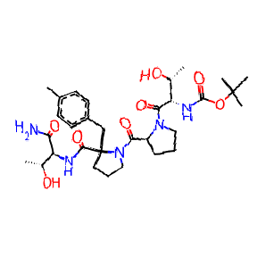 Cc1ccc(CC2(C(=O)N[C@H](C(N)=O)[C@@H](C)O)CCCN2C(=O)[C@@H]2CCCN2C(=O)[C@@H](NC(=O)OC(C)(C)C)[C@@H](C)O)cc1